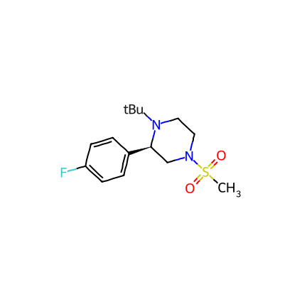 CC(C)(C)N1CCN(S(C)(=O)=O)C[C@H]1c1ccc(F)cc1